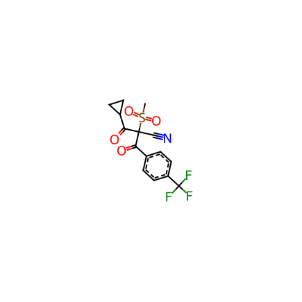 CS(=O)(=O)C(C#N)(C(=O)c1ccc(C(F)(F)F)cc1)C(=O)C1CC1